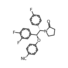 N#Cc1ccc(O[C@@H](c2ccc(F)c(F)c2)[C@H](c2ccc(F)cc2)N2CCCC2=O)cc1